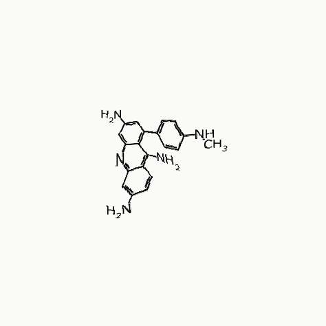 CNc1ccc(-c2cc(N)cc3nc4cc(N)ccc4c(N)c23)cc1